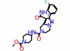 COC(=O)N1CCC(NC(=O)N2CCn3nc(-c4cccc(F)c4)c(C(N)=O)c3C2)CC1